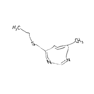 CCSc1cc(C)ncn1